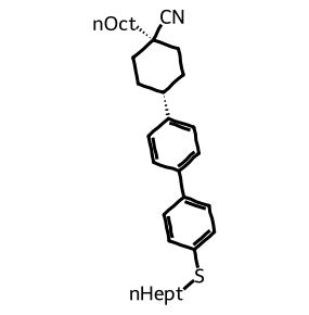 CCCCCCCC[C@]1(C#N)CC[C@H](c2ccc(-c3ccc(SCCCCCCC)cc3)cc2)CC1